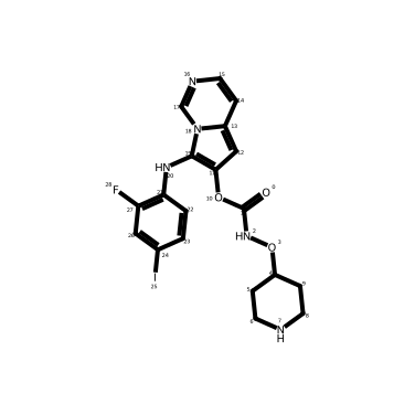 O=C(NOC1CCNCC1)Oc1cc2ccncn2c1Nc1ccc(I)cc1F